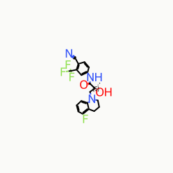 C[C@](O)(CN1CCCc2c(F)cccc21)C(=O)Nc1ccc(C#N)c(C(F)(F)F)c1